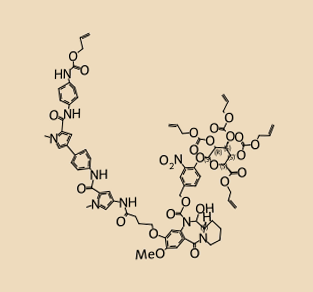 C=CCOC(=O)Nc1ccc(NC(=O)c2cc(-c3ccc(NC(=O)c4cc(NC(=O)CCCOc5cc6c(cc5OC)C(=O)N5CCCC[C@H]5C(O)N6C(=O)OCc5ccc(O[C@@H]6O[C@H](C(=O)OCC=C)[C@@H](OC(=O)OCC=C)[C@H](OC(=O)OCC=C)[C@H]6OC(=O)OCC=C)c([N+](=O)[O-])c5)cn4C)cc3)cn2C)cc1